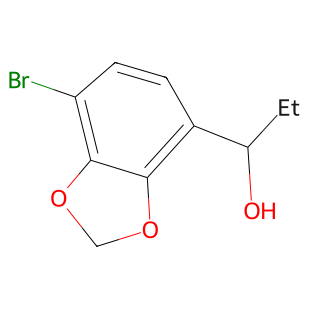 CCC(O)c1ccc(Br)c2c1OCO2